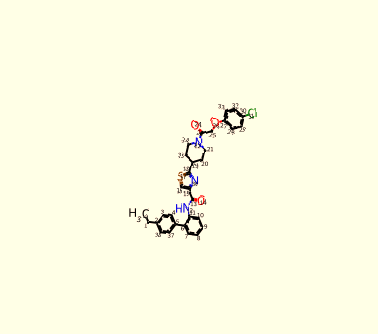 CCc1ccc(-c2ccccc2NC(=O)c2csc(C3CCN(C(=O)COc4ccc(Cl)cc4)CC3)n2)cc1